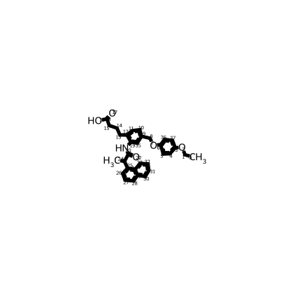 CCOc1ccc(OCc2ccc(CCCC(=O)O)c(NC(=O)C(C)c3cccc4ccccc34)c2)cc1